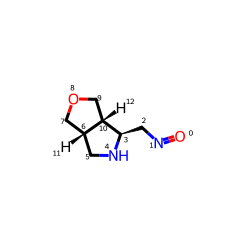 O=NC[C@H]1NC[C@@H]2COC[C@@H]21